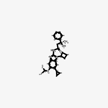 C[C@](O)(CC(=O)Nc1nc2cc(OC(F)F)c(C3CC3)cc2n1C1CCC1)c1ccccc1